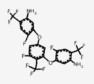 Nc1cc(Oc2cc(F)c(C(F)(F)F)c(Oc3cc(N)c(C(F)(F)F)cc3F)c2)c(F)cc1C(F)(F)F